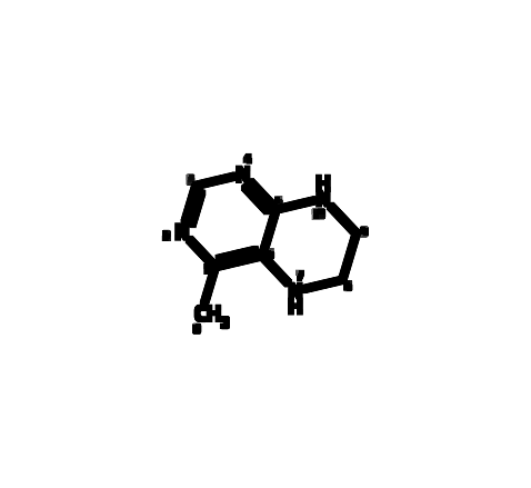 Cc1ncnc2c1NCCN2